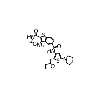 C=CC(=O)Cc1sc(N2CCCCC2)cc1NC(=O)c1ccc2sc3c(c2c1)NC[C@@H](C)NC3=O